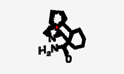 NC(=O)C1(c2nccs2)CCCCC1c1ccccc1